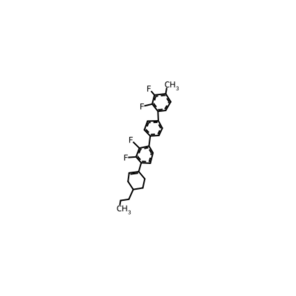 CCCC1CC=C(c2ccc(-c3ccc(-c4ccc(C)c(F)c4F)cc3)c(F)c2F)CC1